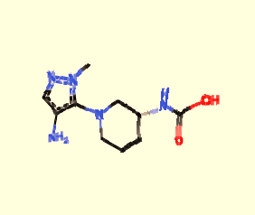 Cn1ncc(N)c1N1CCC[C@@H](NC(=O)O)C1